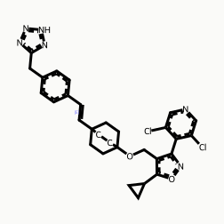 Clc1cncc(Cl)c1-c1noc(C2CC2)c1COC12CCC(/C=C/c3ccc(Cc4nn[nH]n4)cc3)(CC1)CC2